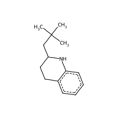 CC(C)(C)CC1CCc2ccccc2N1